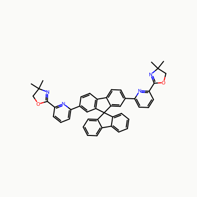 CC1(C)COC(c2cccc(-c3ccc4c(c3)C3(c5ccccc5-c5ccccc53)c3cc(-c5cccc(C6=NC(C)(C)CO6)n5)ccc3-4)n2)=N1